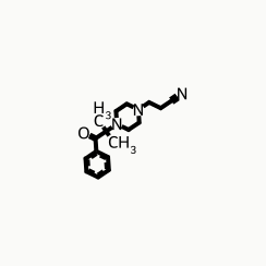 CC(C)(C(=O)c1ccccc1)N1CCN(CCC#N)CC1